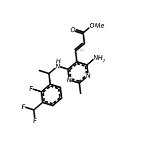 COC(=O)/C=C/c1c(N)nc(C)nc1NC(C)c1cccc(C(F)F)c1F